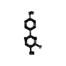 CCCc1ccc(-c2ncc(C#N)c(F)n2)cc1